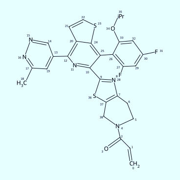 C=CC(=O)N1CCc2nc(-c3nc(-c4cnnc(C)c4)c4ccsc4c3-c3c(F)cc(F)cc3OC(C)C)sc2C1